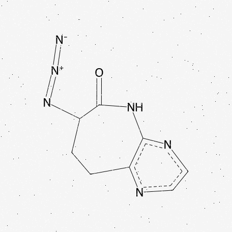 [N-]=[N+]=NC1CCc2nccnc2NC1=O